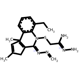 C=N/N=C(/C1=CC=C(C)C1)N(SC/C(N)=N/N)c1c(CC)cccc1CC